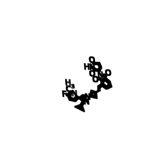 Cc1nc(-c2cn([C@H]3C[C@H](CCc4cccc5c4C(=O)N(C4CCC(=O)NC4=O)C5=O)C3)nc2C2CC2)ccc1F